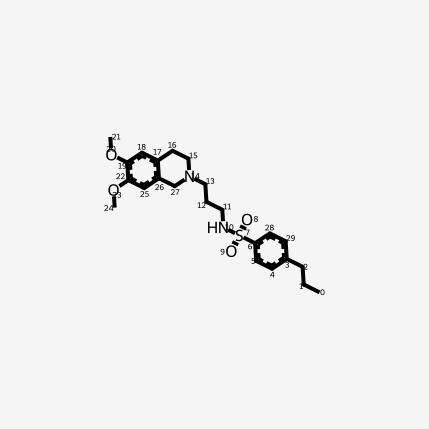 CCCc1ccc(S(=O)(=O)NCCCN2CCc3cc(OC)c(OC)cc3C2)cc1